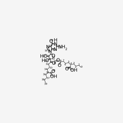 CCCCC(CCCC(=O)OC[C@H]1O[C@@H](n2cnc3c(=O)[nH]c(N)nc32)[C@H](O)[C@@]1(O)C(=O)CCCC(CCCC)C(=O)O)C(=O)O